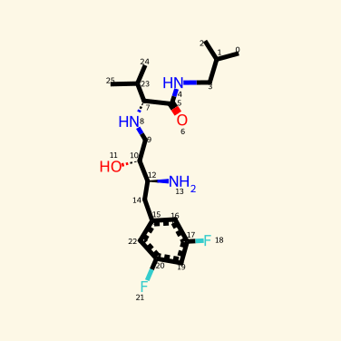 CC(C)CNC(=O)[C@H](NC[C@@H](O)[C@@H](N)Cc1cc(F)cc(F)c1)C(C)C